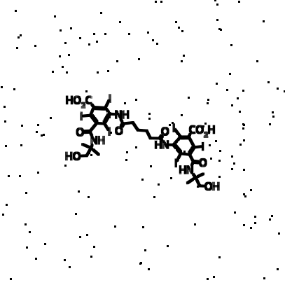 CC(C)(CO)NC(=O)c1c(I)c(NC(=O)CCCCC(=O)Nc2c(I)c(C(=O)O)c(I)c(C(=O)NC(C)(C)CO)c2I)c(I)c(C(=O)O)c1I